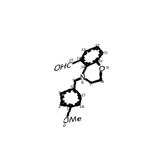 COc1ccc(CN2CCOc3cccc(C=O)c32)cc1